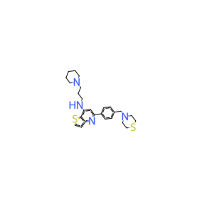 c1cc2nc(-c3ccc(CN4CCSCC4)cc3)cc(NCCCN3CCCCC3)c2s1